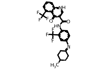 CC1CCC(=Nc2ccc(NC(=O)c3c[nH]c4cccc(C(F)(F)F)c4c3=O)c(C(F)(F)F)c2)CC1